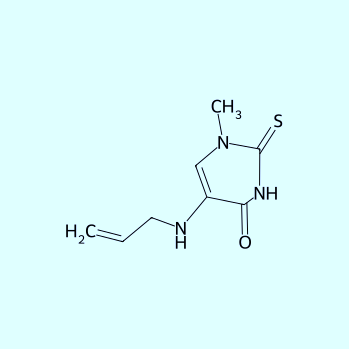 C=CCNc1cn(C)c(=S)[nH]c1=O